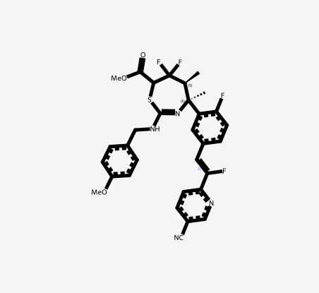 COC(=O)C1SC(NCc2ccc(OC)cc2)=N[C@](C)(c2cc(/C=C(\F)c3ccc(C#N)cn3)ccc2F)[C@H](C)C1(F)F